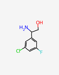 NC(CO)c1cc(F)cc(Cl)c1